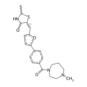 CN1CCCN(C(=O)c2ccc(-c3ccc(/C=C4/SC(=S)NC4=O)o3)cc2)CC1